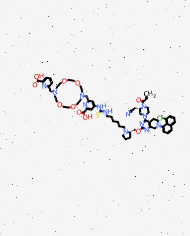 C=CC(=O)N1CCN(c2nc(OC[C@@H]3CCCN3CCCCCCNC(=S)Nc3cc(CN4CCOCCOCCN(Cc5cccc(C(=O)O)n5)CCOCCOCC4)nc(C(=O)O)c3)nc3c2CCN(c2cccc4cccc(Cl)c24)C3)C[C@@H]1CC#N